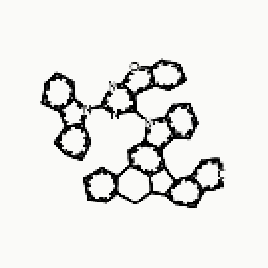 c1ccc2c(c1)CC1c3ccc4ccccc4c3-c3c1c-2cc1c3c2ccccc2n1-c1nc(-n2c3ccccc3c3ccccc32)nc2oc3ccccc3c12